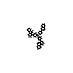 CC1(C)c2ccccc2-c2cccc(-c3ccc(N(c4ccc(-c5ccc6ccccc6c5)cc4)c4ccc(-c5cccc6c5ccc5ccccc56)cc4)cc3)c21